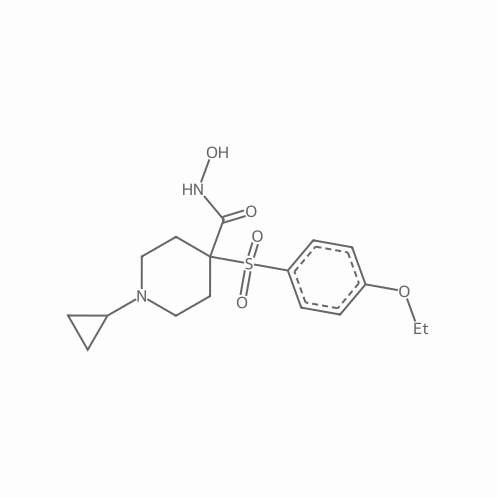 CCOc1ccc(S(=O)(=O)C2(C(=O)NO)CCN(C3CC3)CC2)cc1